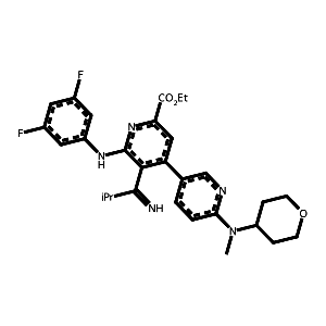 CCOC(=O)c1cc(-c2ccc(N(C)C3CCOCC3)nc2)c(C(=N)C(C)C)c(Nc2cc(F)cc(F)c2)n1